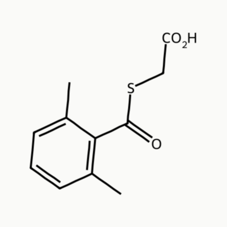 Cc1cccc(C)c1C(=O)SCC(=O)O